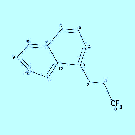 FC(F)(F)[CH]Cc1cccc2ccccc12